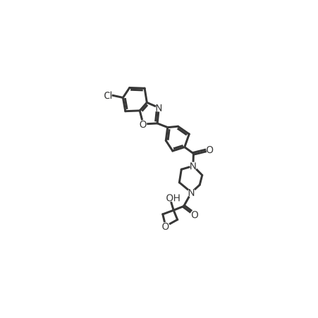 O=C(c1ccc(-c2nc3ccc(Cl)cc3o2)cc1)N1CCN(C(=O)C2(O)COC2)CC1